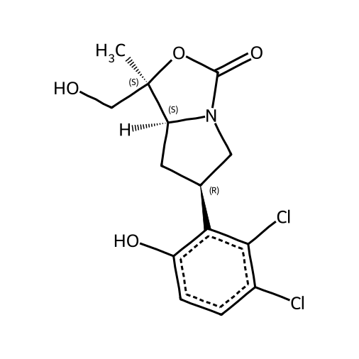 C[C@]1(CO)OC(=O)N2C[C@@H](c3c(O)ccc(Cl)c3Cl)C[C@H]21